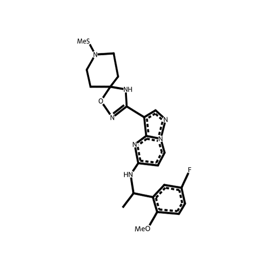 COc1ccc(F)cc1C(C)Nc1ccn2ncc(C3=NOC4(CCN(SC)CC4)N3)c2n1